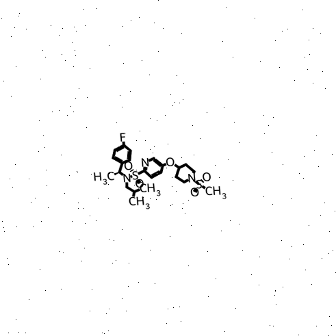 CC(C)CN([C@@H](C)c1ccc(F)cc1)S(=O)(=O)c1ccc(OC2CCN(S(C)(=O)=O)CC2)cn1